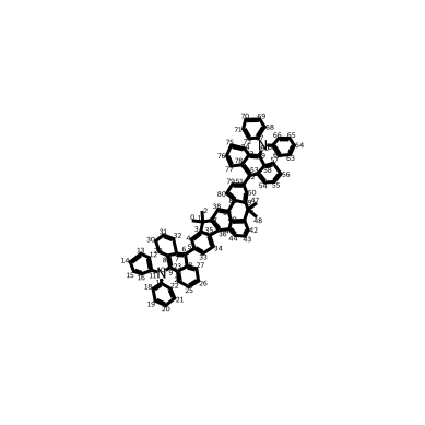 CC1(C)c2cc(-c3c4c(c(N(c5ccccc5)c5ccccc5)c5ccccc35)CCC=C4)ccc2-c2c1cc1c3c(cccc23)C(C)(C)c2cc(-c3c4ccccc4c(N(c4ccccc4)c4ccccc4)c4ccccc34)ccc2-1